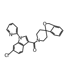 O=C(c1cn(-c2ccccn2)c2cc(Cl)ccc12)N1CCC2(CC1)OCc1ccccc12